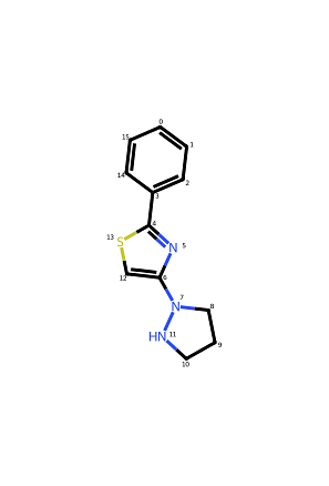 c1ccc(-c2nc(N3CCCN3)cs2)cc1